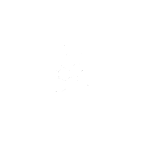 C=C(F)c1ccc(OC(C)(C)C)cc1C(F)(F)F